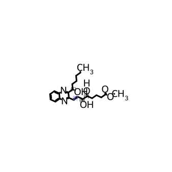 CCCCC[C@H](O)c1nc2ccccc2nc1/C=C/[C@@H](O)[C@@H](O)CCCC(=O)OC